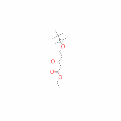 CCOC(=O)CC(=O)CCO[Si](C)(C)C(C)(C)C